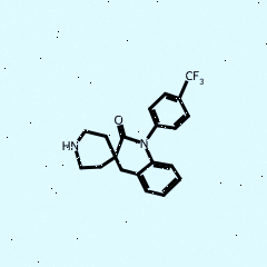 O=C1N(c2ccc(C(F)(F)F)cc2)c2ccccc2CC12CCNCC2